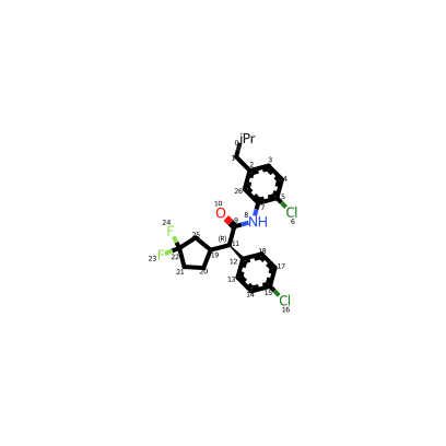 CC(C)Cc1ccc(Cl)c(NC(=O)[C@@H](c2ccc(Cl)cc2)C2CCC(F)(F)C2)c1